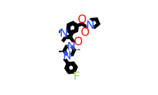 Cc1c(C(=O)N2C[C@H](C)N(Cc3ccc(F)cc3)C[C@H]2C)c2cc(C(=O)C(=O)N3CCCC3)ccc2n1C